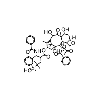 CC(=O)O[C@@]12CO[C@@H]1C[C@H](O)[C@@]1(C)C(=O)[C@H](O)C3=C(C)[C@@H](OC(=O)[C@H](CC(C)(C)[Si](C)(C)O)[C@@H](NC(=O)c4ccccc4)c4ccccc4)C[C@@](O)([C@@H](OC(=O)c4ccccc4)[C@H]21)C3(C)C